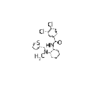 CN(Cc1cccs1)C1CCCCC1NC(=O)c1ccc(Cl)c(Cl)c1